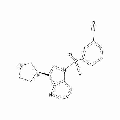 N#Cc1cccc(S(=O)(=O)n2cc([C@H]3CCNC3)c3ncccc32)c1